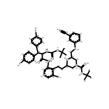 CC(C)(C)OC(=O)NC(C(=O)Nc1cncc(F)c1CCC1CN(C(=O)OC(C)(C)C)CC(CSc2cccc(C#N)c2)O1)C(c1ccc(F)cc1)c1ccc(F)cc1